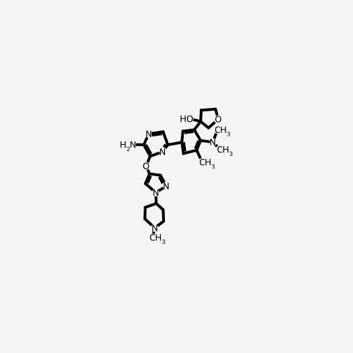 Cc1cc(-c2cnc(N)c(Oc3cnn(C4CCN(C)CC4)c3)n2)cc(C2(O)CCOC2)c1N(C)C